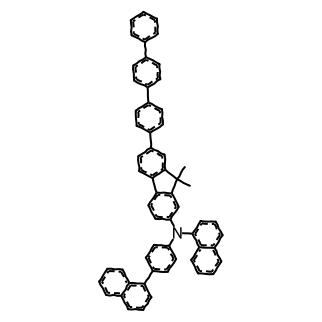 CC1(C)c2cc(-c3ccc(-c4ccc(-c5ccccc5)cc4)cc3)ccc2-c2ccc(N(c3ccc(-c4cccc5ccccc45)cc3)c3cccc4ccccc34)cc21